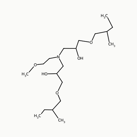 CCC(C)COCC(O)CN(CCOC)CC(O)COCC(C)CC